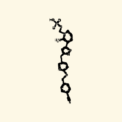 N#Cc1ccc(COc2ccc(Cc3cc(-c4ccc[n+](COP(=O)([O-])O)c4N)on3)cn2)cc1